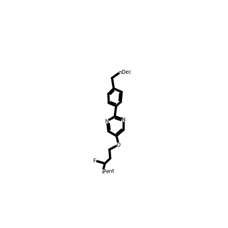 CCCCCCCCCCCc1ccc(-c2ncc(OCCC(F)C(C)CCC)cn2)cc1